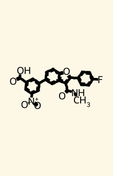 CNC(=O)c1c(-c2ccc(F)cc2)oc2ccc(-c3cc(C(=O)O)cc([N+](=O)[O-])c3)cc12